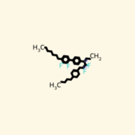 C=C/C=C(\C(F)=C(\F)CC1=CCC(CCCCC)CC1)c1ccc(-c2ccc(CCCCCCC)c(F)c2F)cc1